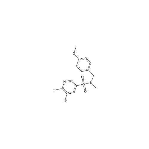 COc1ccc(CN(C)S(=O)(=O)c2cnc(Cl)c(Br)c2)cc1